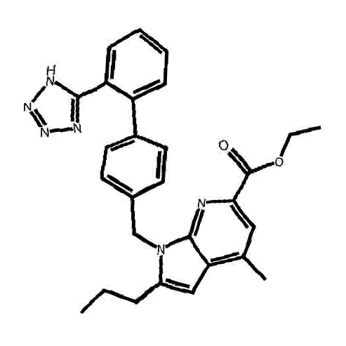 CCCc1cc2c(C)cc(C(=O)OCC)nc2n1Cc1ccc(-c2ccccc2-c2nnn[nH]2)cc1